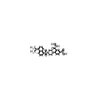 CN(C)c1cccc2c(S(=O)(=O)N3CCN(c4ccc([N+](=O)O)cc4C(=O)NO)CC3)cccc12